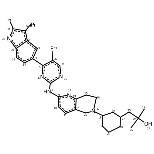 CC(C)c1c2cc(-c3nc(Nc4ccc5c(n4)CCN(C4CCCC(CC(C)(C)O)C4)C5)ncc3F)ccc2nn1C